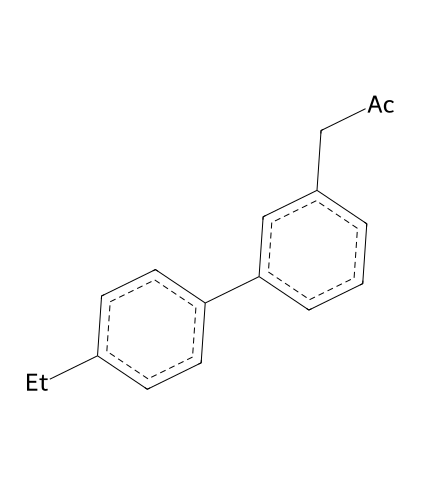 CCc1ccc(-c2cccc(CC(C)=O)c2)cc1